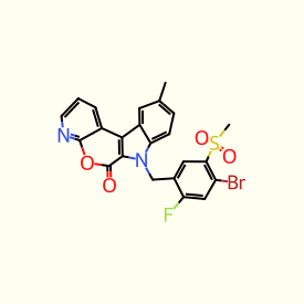 Cc1ccc2c(c1)c1c3cccnc3oc(=O)c1n2Cc1cc(S(C)(=O)=O)c(Br)cc1F